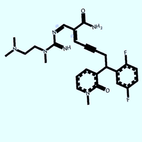 CN(C)CCN(C)C(=N)/N=C\C(=C\C#CCC(c1cc(F)ccc1F)c1cccn(C)c1=O)C(N)=O